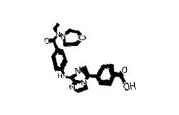 CCN(C(=O)c1ccc(Nc2ncc(-c3ccc(C(=O)O)cc3)n3ccnc23)cc1)N1CCOCC1